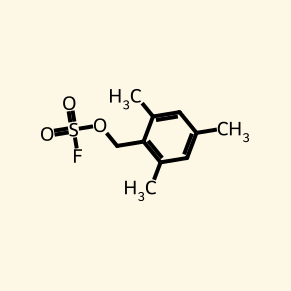 Cc1cc(C)c(COS(=O)(=O)F)c(C)c1